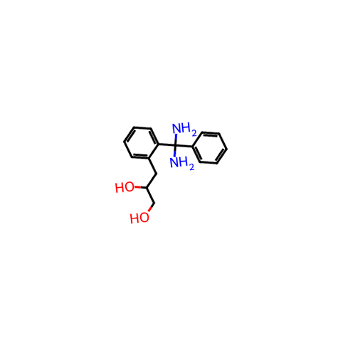 NC(N)(c1ccccc1)c1ccccc1CC(O)CO